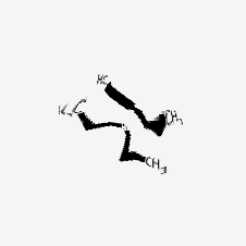 C#CCC.CCSCC